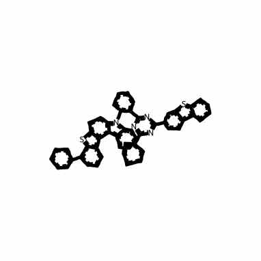 c1ccc(-c2nc(-c3ccc4c(c3)sc3ccccc34)nc(-c3ccccc3-n3c4ccccc4c4c5c(ccc43)sc3c(-c4ccccc4)cccc35)n2)cc1